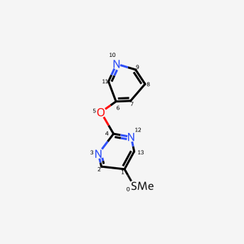 CSc1cnc(Oc2cccnc2)nc1